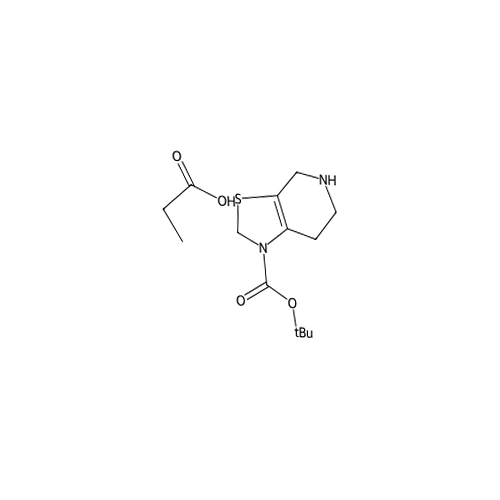 CC(C)(C)OC(=O)N1CSC2=C1CCNC2.CCC(=O)O